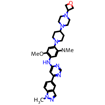 CNc1cc(Nc2cc(-c3ccc4c(cnn4C)c3)ncn2)c(OC)cc1N1CCC(N2CCN(C3COC3)CC2)CC1